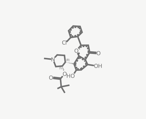 CN1CC[C@H](c2c(O)cc(O)c3c(=O)cc(-c4ccccc4Cl)oc23)[C@H](OC(=O)C(C)(C)C)C1